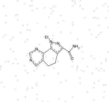 CCn1nc(C(N)=O)c2c1-c1ncncc1CC2